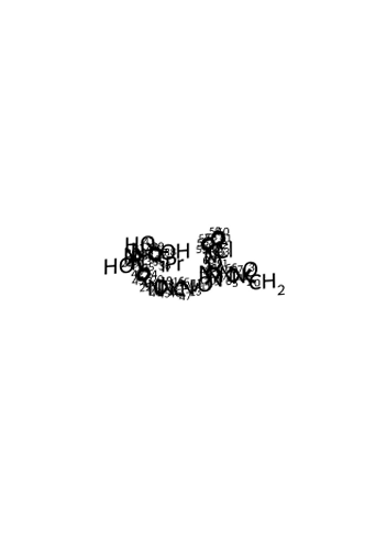 C=CC(=O)N1CCN(c2nc(OCCN3CCC(N4CCN(Cc5ccc(-n6c(O)nnc6-c6cc(C(C)C)c(O)cc6O)cc5)CC4)CC3)nc3c2CCN(c2cccc4cccc(Cl)c24)C3)CC1